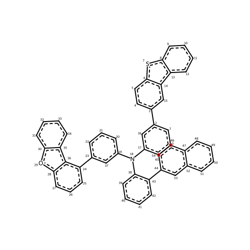 c1cc(-c2ccc3sc4ccccc4c3c2)cc(N(c2cccc(-c3cccc4oc5ccccc5c34)c2)c2ccccc2-c2ccc3ccccc3c2)c1